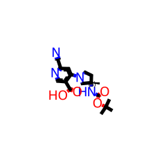 CC(C)(C)OC(=O)N[C@@]1(C)CCN(c2cc(C#N)ncc2C(=O)O)C1